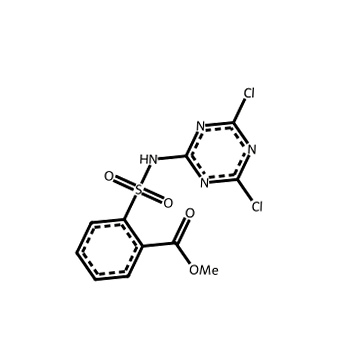 COC(=O)c1ccccc1S(=O)(=O)Nc1nc(Cl)nc(Cl)n1